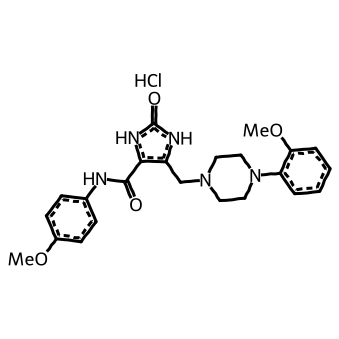 COc1ccc(NC(=O)c2[nH]c(=O)[nH]c2CN2CCN(c3ccccc3OC)CC2)cc1.Cl